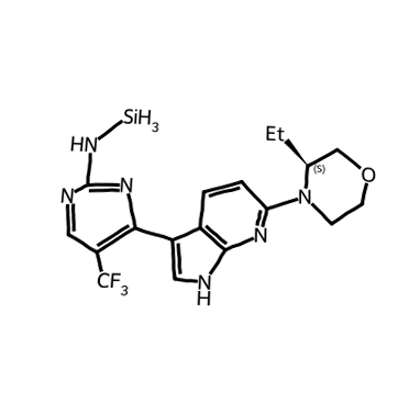 CC[C@H]1COCCN1c1ccc2c(-c3nc(N[SiH3])ncc3C(F)(F)F)c[nH]c2n1